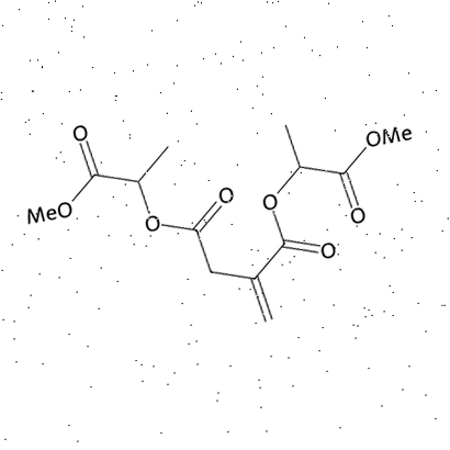 C=C(CC(=O)OC(C)C(=O)OC)C(=O)OC(C)C(=O)OC